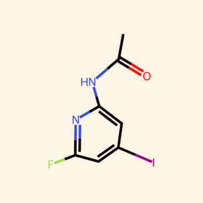 CC(=O)Nc1cc(I)cc(F)n1